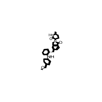 C=C1CCC(N2Cc3cc(C[C@H]4CCCC[C@@H]4NC4CCC(COC)CC4)ccc3C2=O)C(=O)N1